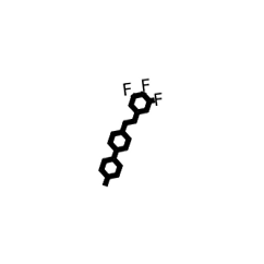 CC1CCC(C2CCC(CCC3CC(F)C(F)C(F)C3)CC2)CC1